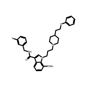 COc1cccc2c(C(=O)NCc3cccc(F)c3)cn(CCCN3CCC(CCOc4ccccc4)CC3)c12